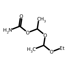 CCOC(C)OC(C)OC(N)=O